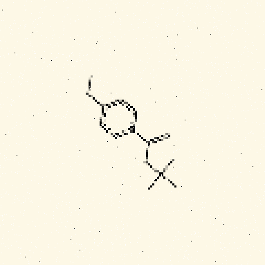 CCc1ccc(C(=O)CC(C)(C)C)cc1